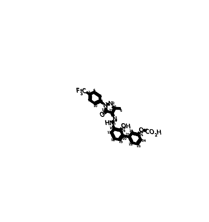 CC1=NN(c2ccc(C(F)(F)F)cc2)C(=O)C1=NNc1cccc(-c2cccc(OC(=O)O)c2)c1O